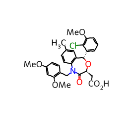 COc1ccc(CN2C(=O)[C@H](CC(=O)O)O[C@@H](c3cccc(OC)c3Cl)c3cc(C)ccc32)c(OC)c1